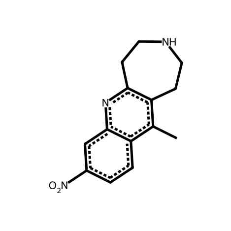 Cc1c2c(nc3cc([N+](=O)[O-])ccc13)CCNCC2